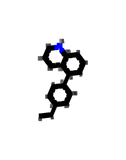 C=Cc1ccc(-c2cccc3ncccc23)cc1